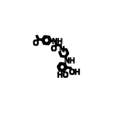 CC(=O)c1ccc(NC(=O)CN2CCC(Nc3cccc(O)c3CO)CC2)cc1